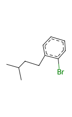 CC(C)CCc1ccccc1Br